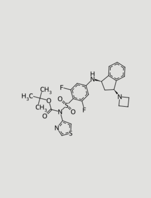 CC(C)(C)OC(=O)N(c1cscn1)S(=O)(=O)c1c(F)cc(N[C@@H]2C[C@H](N3CCC3)c3ccccc32)cc1F